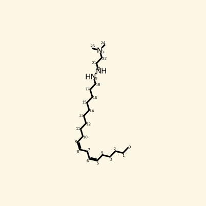 CCCCC/C=C\C/C=C\CCCCCCCCCNNCCN(C)C